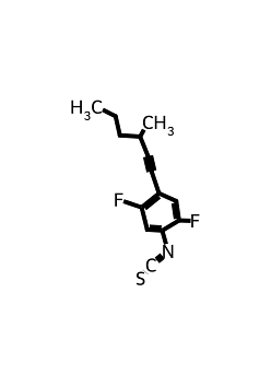 CCCC(C)C#Cc1cc(F)c(N=C=S)cc1F